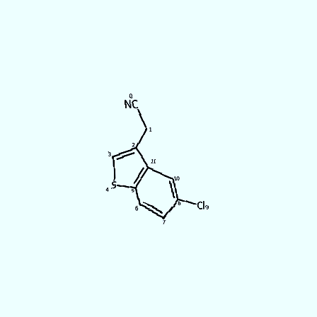 N#CCc1csc2ccc(Cl)cc12